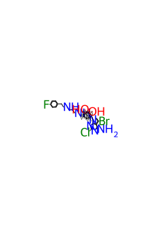 Nc1nc(Cl)nc2c1c(Br)cn2[C@@H]1C[C@H](CNCCCNCCc2ccc(F)cc2)[C@@H](O)[C@H]1O